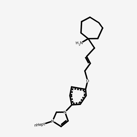 CCCCCCCN1C=CN(c2ccc(OCC=CCC3(N)CCCCCC3)cc2)C1